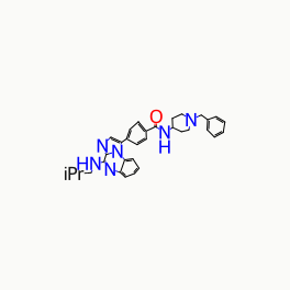 CC(C)CNc1nc2ccccc2n2c(-c3ccc(C(=O)NC4CCN(Cc5ccccc5)CC4)cc3)cnc12